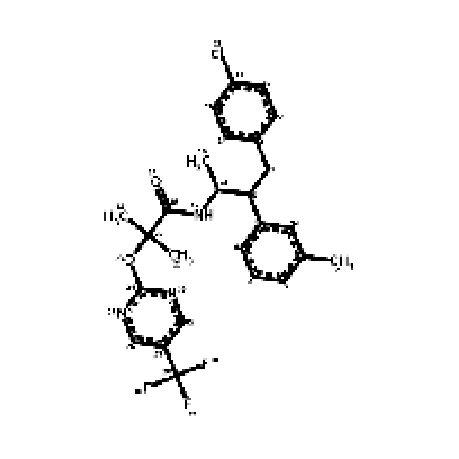 Cc1cccc(C(Cc2ccc(Cl)cc2)C(C)NC(=O)C(C)(C)Oc2ncc(C(F)(F)F)cn2)c1